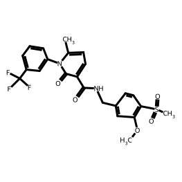 COc1cc(CNC(=O)c2ccc(C)n(-c3cccc(C(F)(F)F)c3)c2=O)ccc1S(C)(=O)=O